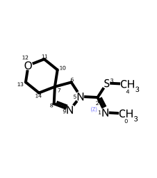 C/N=C(\SC)N1CC2(C=N1)CCOCC2